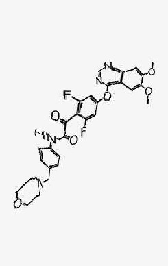 COc1cc2ncnc(Oc3cc(F)c(C(=O)C(=O)Nc4ccc(CN5CCOCC5)cc4)c(F)c3)c2cc1OC